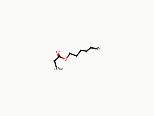 CSCC(=O)OCCCCCC(C)C